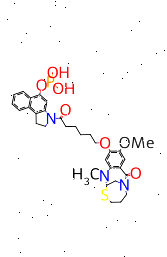 COc1cc2c(cc1OCCCCCC(=O)N1CCc3c1cc(OP(O)O)c1ccccc31)N(C)C1CN(CCCS1)C2=O